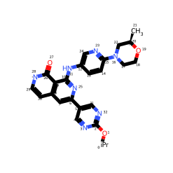 CC(C)Oc1ncc(-c2cc3c(c(Nc4ccc(N5CCO[C@H](C)C5)nc4)n2)C(=O)[N]C=C3)cn1